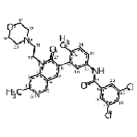 Cc1cc2c(cn1)cc(-c1cc(NC(=O)c3cc(Cl)cc(Cl)c3)ccc1C)c(=O)n2CCN1CCOCC1